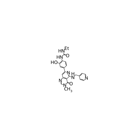 CCNC(=O)Nc1ccc(-c2cc3ncn(C)c(=O)c3c(NCc3ccncc3)n2)cc1O